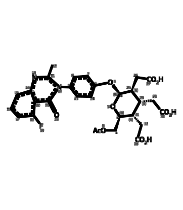 CC(=O)OC[C@H]1O[C@@H](Oc2ccc(-n3c(C)nc4cccc(F)c4c3=O)cc2)[C@@H](CC(=O)O)[C@H](CC(=O)O)[C@@H]1CC(=O)O